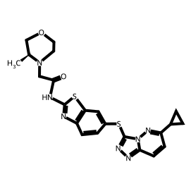 C[C@H]1COCCN1CC(=O)Nc1nc2ccc(Sc3nnc4ccc(C5CC5)nn34)cc2s1